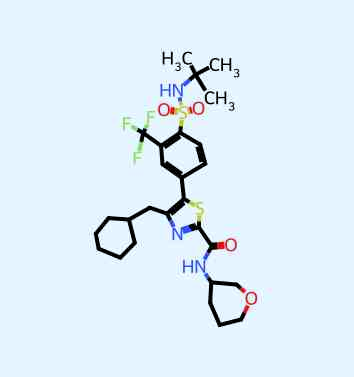 CC(C)(C)NS(=O)(=O)c1ccc(-c2sc(C(=O)NC3CCCOC3)nc2CC2CCCCC2)cc1C(F)(F)F